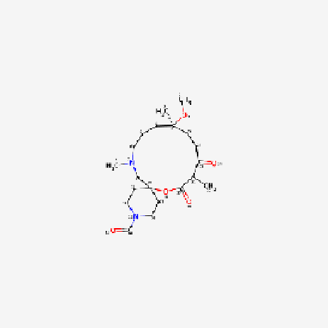 CO[C@]1(C)CCCN(C)CC2(CCN(C=O)CC2)OC(=O)C(C)C(=O)CC1